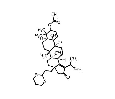 CC(=O)O[C@H]1CC[C@]2(C)[C@H]3CC[C@@H]4C5=C(C(C)C)C(=O)C[C@]5(CCC5SCCCS5)CC[C@@]4(C)[C@]3(C)CC[C@H]2C1(C)C